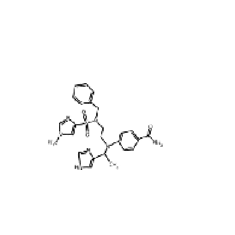 CC(c1c[nH]cn1)N(CCN(Cc1ccccc1)S(=O)(=O)c1cn(C)cn1)c1ccc(C(N)=O)cc1